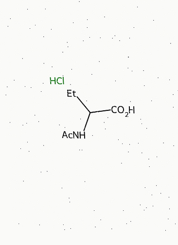 CCC(NC(C)=O)C(=O)O.Cl